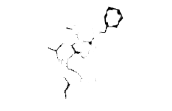 CCCC[C@@H](CO)NC(=O)[C@H](CC(C)C)N(OC)C(=O)OCc1ccccc1